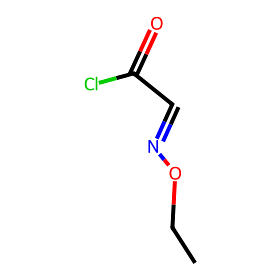 CCON=CC(=O)Cl